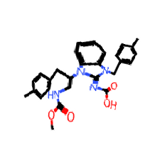 COC(=O)NCC(Cc1ccc(C)cc1)n1/c(=N/C(=O)O)n(Cc2ccc(C)cc2)c2ccccc21